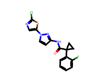 O=C(Nc1ccn(-c2cnc(Cl)s2)n1)C1(c2ccccc2F)CC1